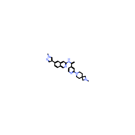 C=C(Nc1cc2cc(-c3cnn(C)c3)ccc2cn1)c1ccnc(N2CCC3(CC2)CN(C)C3)c1